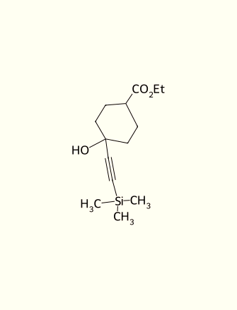 CCOC(=O)C1CCC(O)(C#C[Si](C)(C)C)CC1